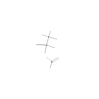 CC(C)(C)C(=O)OC(C)(C)C(O)(C(F)(F)F)C(F)(F)F